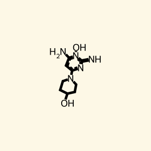 N=c1nc(N2CCC(O)CC2)cc(N)n1O